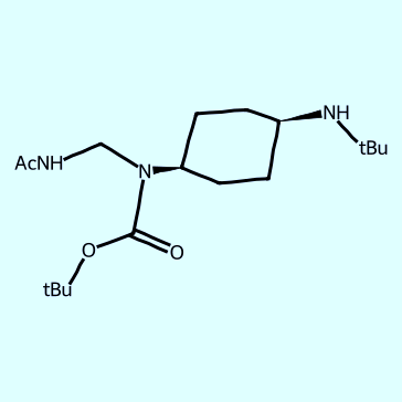 CC(=O)NCN(C(=O)OC(C)(C)C)[C@H]1CC[C@@H](NC(C)(C)C)CC1